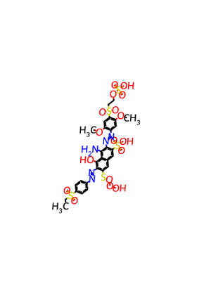 CCS(=O)(=O)c1ccc(/N=N/c2c(SOOO)cc3cc(S(=O)(=O)O)c(/N=N/c4cc(OC)c(S(=O)(=O)CCOS(=O)(=O)O)cc4OC)c(N)c3c2O)cc1